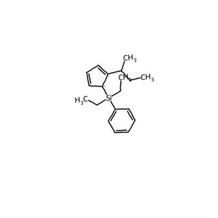 CCC(C)C1=CC=C[C]1[Si](CC)(CC)c1ccccc1